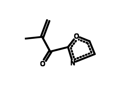 C=C(C)C(=O)c1ncco1